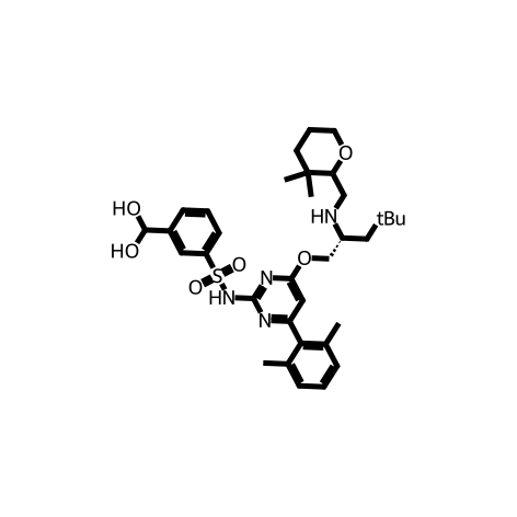 Cc1cccc(C)c1-c1cc(OC[C@@H](CC(C)(C)C)NCC2OCCCC2(C)C)nc(NS(=O)(=O)c2cccc(C(O)O)c2)n1